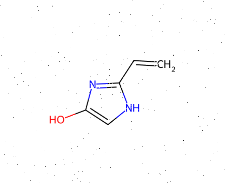 C=Cc1nc(O)c[nH]1